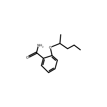 CCCC(C)Oc1ccccc1C(N)=O